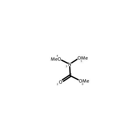 COC(=O)N(OC)OC